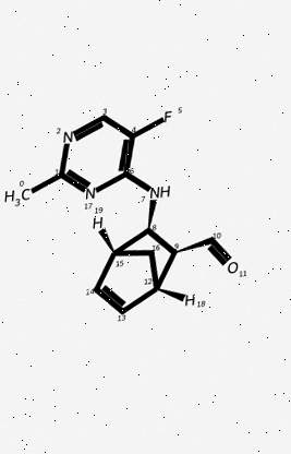 Cc1ncc(F)c(N[C@H]2[C@@H](C=O)[C@@H]3C=C[C@H]2C3)n1